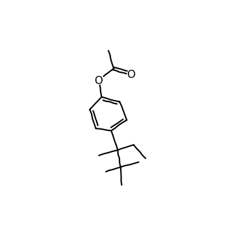 CCC(C)(c1ccc(OC(C)=O)cc1)C(C)(C)C